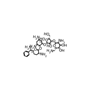 NC[C@@H]1O[C@H](O[C@H]2[C@@H](O)[C@H](O[C@@H]3[C@@H](O)[C@H](N)C[C@H](N)[C@H]3O[C@H]3O[C@H]([C@@H](N)c4ccccc4)CC[C@H]3N)O[C@@H]2CO)[C@H](N)[C@@H](O)[C@@H]1O